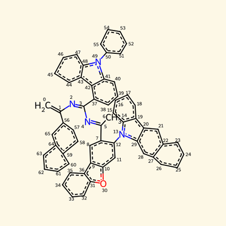 C=C(/N=C(\N=C(/C)c1cc2c(cc1-n1c3ccccc3c3cc4ccccc4cc31)oc1ccccc12)c1cccc2c1c1ccccc1n2-c1ccccc1)c1ccc2ccccc2c1